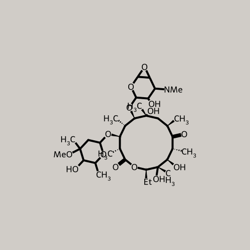 CC[C@H]1OC(=O)[C@H](C)[C@@H](OC2CC(C)(OC)C(O)C(C)O2)[C@H](C)[C@@H](OC2OC3OC3C(NC)C2O)[C@](C)(O)C[C@@H](C)C(=O)[C@H](C)[C@@H](O)[C@]1(C)O